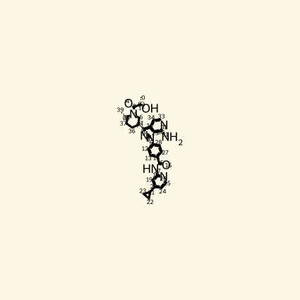 C[C@H](O)C(=O)N1C[C@H](c2nn(-c3ccc(C(=O)Nc4cc(C5CC5)ccn4)cc3)c3c(N)nccc23)CC[C@@H]1C